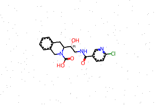 O=C(NC[C@@H](O)C1Cc2ccccc2CN1C(=O)O)c1ccc(Cl)nc1